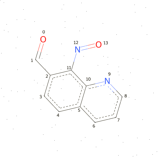 O=Cc1ccc2cccnc2c1N=O